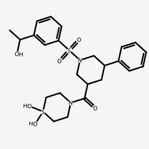 CC(O)c1cccc(S(=O)(=O)N2CC(C(=O)N3CCS(O)(O)CC3)CC(c3ccccc3)C2)c1